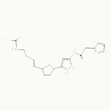 O=C(O)NCCCCC1CCC(c2cc(NC(=O)Cc3ccno3)n[nH]2)C1